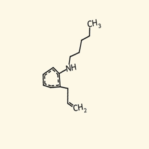 C=CCc1ccccc1NCCCCC